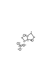 O=[N+]([O-])O[C@@H]1COC2[CH]COC21